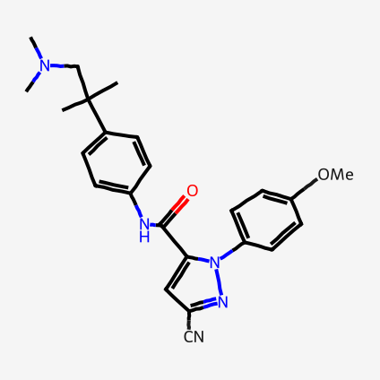 COc1ccc(-n2nc(C#N)cc2C(=O)Nc2ccc(C(C)(C)CN(C)C)cc2)cc1